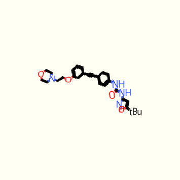 CC(C)(C)c1cc(NC(=O)Nc2ccc(C#Cc3cccc(OCCN4CCOCC4)c3)cc2)no1